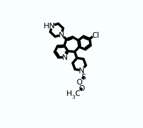 COOSN1CCC(C2c3ccc(Cl)cc3C=C(N3CCNCC3)c3cccnc32)CC1